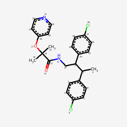 CC(c1ccc(Cl)cc1)C(CNC(=O)C(C)(C)Oc1ccncc1)c1ccc(Cl)cc1